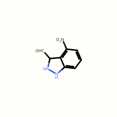 O=CC1NNc2cccc([N+](=O)[O-])c21